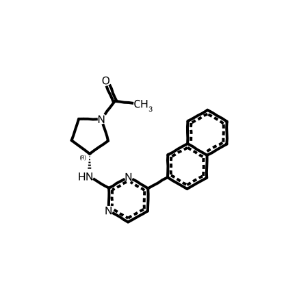 CC(=O)N1CC[C@@H](Nc2nccc(-c3ccc4ccccc4c3)n2)C1